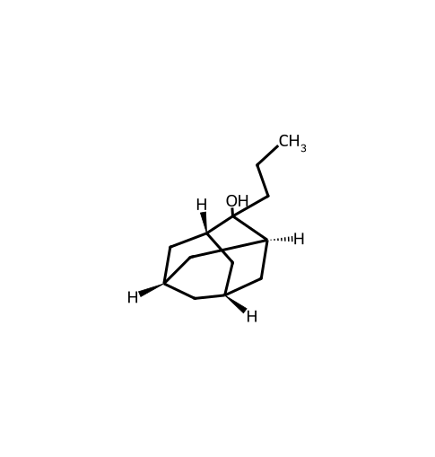 CCCC1(O)[C@H]2C[C@H]3C[C@H](C2)C[C@H]1C3